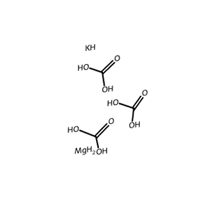 O=C(O)O.O=C(O)O.O=C(O)O.[KH].[MgH2]